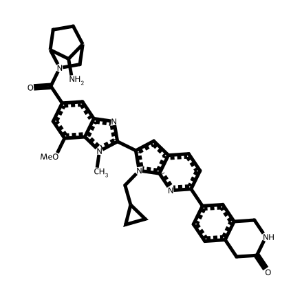 COc1cc(C(=O)N2CC3CCC2C3N)cc2nc(-c3cc4ccc(-c5ccc6c(c5)CNC(=O)C6)nc4n3CC3CC3)n(C)c12